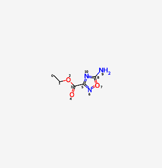 CCOC(=O)c1noc(N)n1